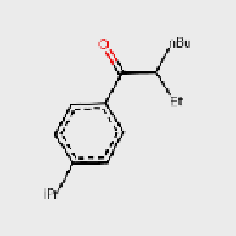 CCCCC(CC)C(=O)c1ccc(C(C)C)cc1